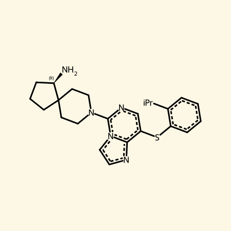 CC(C)c1ccccc1Sc1cnc(N2CCC3(CCC[C@H]3N)CC2)n2ccnc12